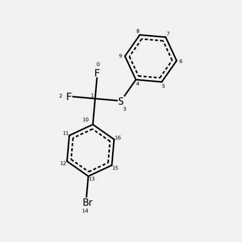 FC(F)(Sc1ccccc1)c1ccc(Br)cc1